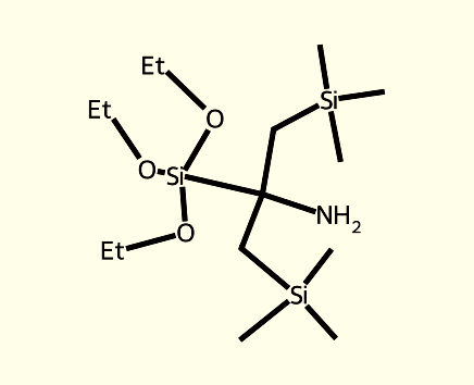 CCO[Si](OCC)(OCC)C(N)(C[Si](C)(C)C)C[Si](C)(C)C